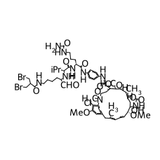 COc1cc2cc(c1Cl)N(C)C(=O)C[C@H](OC(=O)Nc1ccc(NC(=O)[C@H](CCCNC(N)=O)NC(=O)[C@@H](NC(C=O)CCCCNC(=O)C(CBr)CBr)C(C)C)cc1)[C@]1(C)O[C@H]1[C@H](C)[C@@H]1C[C@@](O)(NC(=O)O1)[C@H](OC)/C=C/C=C(\C)C2